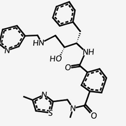 Cc1csc(CN(C)C(=O)c2cccc(C(=O)N[C@@H](Cc3ccccc3)[C@H](O)CNCc3cccnc3)c2)n1